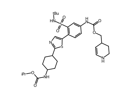 CC(C)OC(=O)NC1CCC(c2ncc(-c3ccc(NC(=O)OCC4C=CNCC4)cc3S(=O)(=O)NC(C)(C)C)s2)CC1